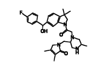 CC1=C(C)C(=O)N(CC2CNC(C)CN2CC(=O)N2CC(C)(C)c3ccc(C(O)c4ccc(F)cc4)cc32)C1